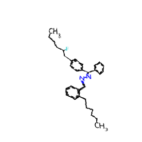 CCCCCCc1ccccc1C=NN=C(c1ccccc1)c1ccc(CC(F)CCCC)cc1